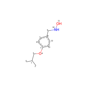 CC(C)COc1ccc(CNO)cc1